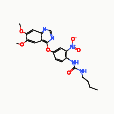 CCCCNC(=O)Nc1ccc(Oc2ncnc3cc(OC)c(OC)cc23)cc1[N+](=O)[O-]